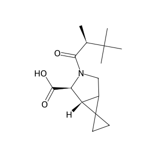 C[C@H](C(=O)N1CC2[C@@H]([C@H]1C(=O)O)C21CC1)C(C)(C)C